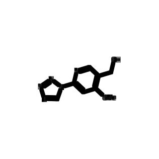 COc1cc(-n2cnnn2)ncc1CO